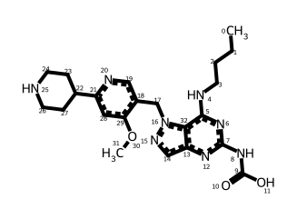 CCCCNc1nc(NC(=O)O)nc2cnn(Cc3cnc(C4CCNCC4)cc3OC)c12